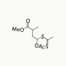 COC(=O)C(C)CC(OC(C)=O)SC(C)=S